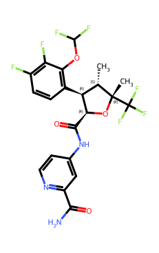 C[C@H]1[C@H](c2ccc(F)c(F)c2OC(F)F)[C@H](C(=O)Nc2ccnc(C(N)=O)c2)O[C@@]1(C)C(F)(F)F